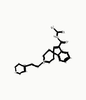 CCC(CC)NC(=O)C1=CC2(CCN(CCC3CCSCC3)CC2)c2ccccc21